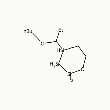 CCCCOC(CC)[SiH]1CCO[SiH2][SiH2]1